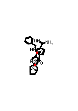 N=C(N)c1ccc(C(=O)NC2CC3CCC(C2)N3c2ccc(C(=O)NCc3ccccc3)cn2)cc1